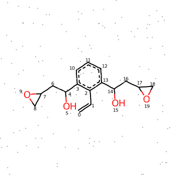 C=Cc1c(C(O)CC2CO2)cccc1C(O)CC1CO1